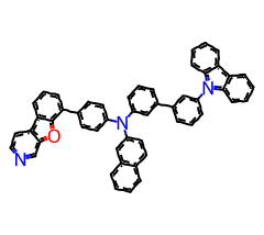 c1cc(-c2cccc(-n3c4ccccc4c4ccccc43)c2)cc(N(c2ccc(-c3cccc4c3oc3cnccc34)cc2)c2ccc3ccccc3c2)c1